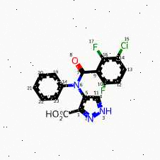 O=C(O)c1n[nH]cc1N(C(=O)c1c(F)ccc(Cl)c1F)c1ccccc1